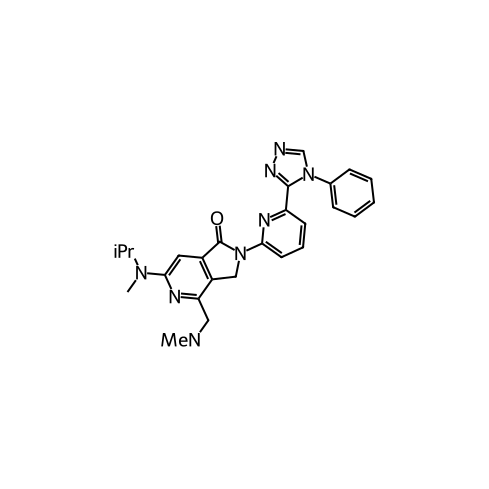 CNCc1nc(N(C)C(C)C)cc2c1CN(c1cccc(-c3nncn3-c3ccccc3)n1)C2=O